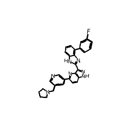 Fc1cccc(-c2cccc3[nH]c(-c4n[nH]c5ccc(-c6cncc(CN7CCCC7)c6)nc45)nc23)c1